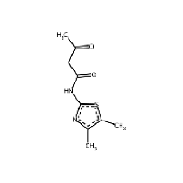 CC(=O)CC(=O)Nc1nc(C)c(C)s1